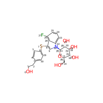 OCCc1ccc(Sc2cn([C@@H]3O[C@H](CO)[C@@H](O)[C@H](O)[C@H]3O)c3cccc(F)c23)cc1